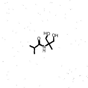 CC(C)C(=O)NC(C)(CO)CO